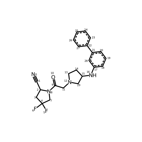 N#CC1CC(F)(F)CN1C(=O)CN1CCC(Nc2cccc(-c3ccccc3)c2)C1